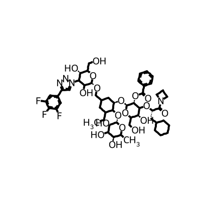 CCC1CC(CO[C@H]2OC(CO)[C@@H](O)C(n3cc(-c4cc(F)c(F)c(F)c4)nn3)C2O)C[C@@H](O[C@@H]2OC(CO)[C@H](O)C(O[C@@H](CC3CCCCC3)C(=O)N3CCC3)[C@H]2OC(=O)c2ccccc2)C1O[C@@H]1OC(C)[C@@H](O)C(O)C1O